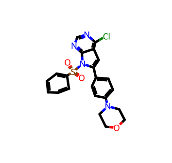 O=S(=O)(c1ccccc1)n1c(-c2ccc(N3CCOCC3)cc2)cc2c(Cl)ncnc21